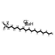 CCCCCCCCCCCCCCCC[N+](C)(C)C.[Cl-].[NaH]